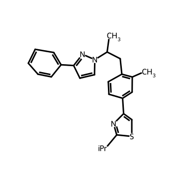 Cc1cc(-c2csc(C(C)C)n2)ccc1CC(C)n1ccc(-c2ccccc2)n1